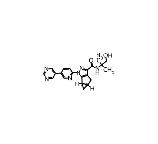 CC(C)(CO)NC(=O)c1nn(-c2ccc(-c3cncnc3)cn2)c2c1C[C@@H]1C[C@H]21